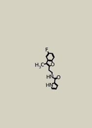 Cc1c(CCNC(=O)c2ccc[nH]2)oc2ccc(F)cc12